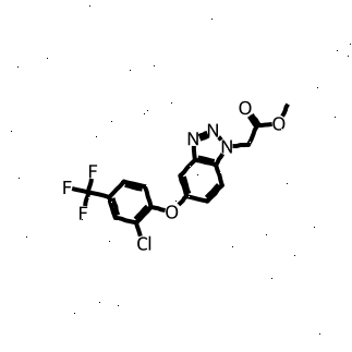 COC(=O)Cn1nnc2cc(Oc3ccc(C(F)(F)F)cc3Cl)ccc21